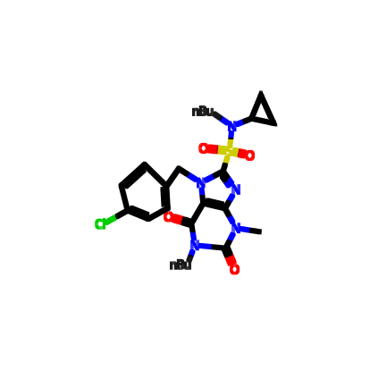 CCCCN(C1CC1)S(=O)(=O)c1nc2c(c(=O)n(CCCC)c(=O)n2C)n1Cc1ccc(Cl)cc1